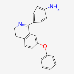 Nc1ccc(C2=NCCc3ccc(Oc4ccccc4)cc32)cc1